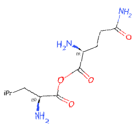 CC(C)C[C@H](N)C(=O)OC(=O)[C@@H](N)CCC(N)=O